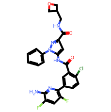 Nc1nc(-c2ccc(Cl)c(C(=O)Nc3cc(C(=O)NCC4COC4)nn3-c3ccccc3)c2)c(F)cc1F